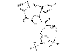 Cc1cc(F)ccc1C1CN(C(=O)c2c[nH]cn2)CCC1C(=O)N(C)Cc1cc(C(F)(F)F)cc(C(F)(F)F)c1